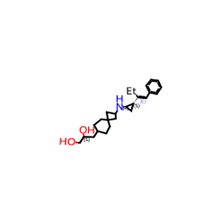 CC/C(=C\c1ccccc1)[C@@H]1C[C@H]1NC1CC2(CCC(C[C@H](O)CO)CC2)C1